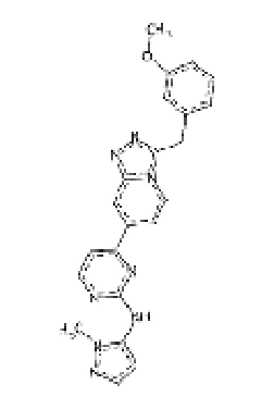 COc1cccc(Cc2nnc3cc(-c4ccnc(Nc5ccnn5C)n4)ccn23)c1